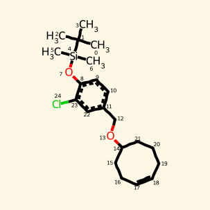 CC(C)(C)[Si](C)(C)Oc1ccc(COC2CCC=CCCC2)cc1Cl